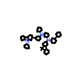 CC1(C)c2ccccc2-c2cc(N(c3cccc(-c4ccccc4)c3)c3cccc(N(c4ccccc4)c4cccc(-c5ccc6c7ccccc7n(-c7ccccc7)c6c5)c4)c3)ccc21